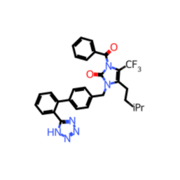 CC(C)CCc1c(C(F)(F)F)n(C(=O)c2ccccc2)c(=O)n1Cc1ccc(-c2ccccc2-c2nnn[nH]2)cc1